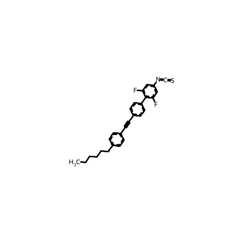 CCCCCCc1ccc(C#Cc2ccc(-c3c(F)cc(N=C=S)cc3F)cc2)cc1